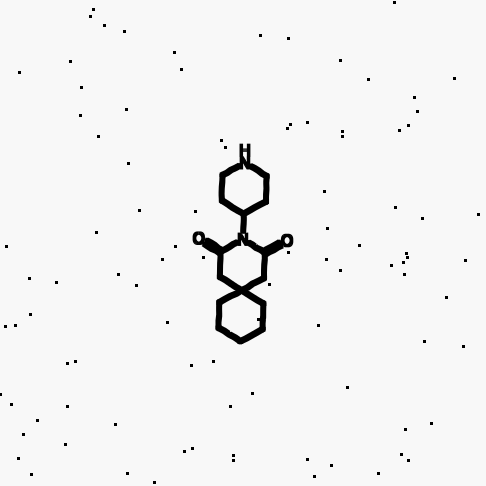 O=C1CC2(CCCCC2)CC(=O)N1C1CCNCC1